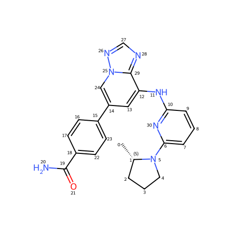 C[C@H]1CCCN1c1cccc(Nc2cc(-c3ccc(C(N)=O)cc3)cn3ncnc23)n1